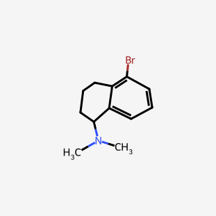 CN(C)C1CCCc2c(Br)cccc21